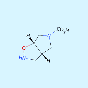 O=C(O)N1C[C@@H]2CNO[C@@H]2C1